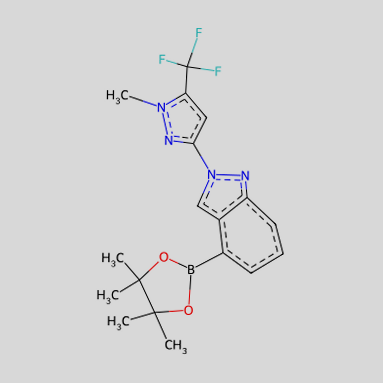 Cn1nc(-n2cc3c(B4OC(C)(C)C(C)(C)O4)cccc3n2)cc1C(F)(F)F